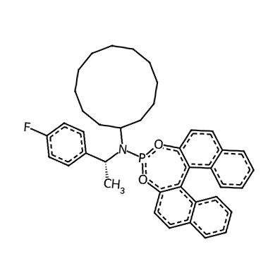 C[C@H](c1ccc(F)cc1)N(C1CCCCCCCCCCC1)p1oc2ccc3ccccc3c2c2c(ccc3ccccc32)o1